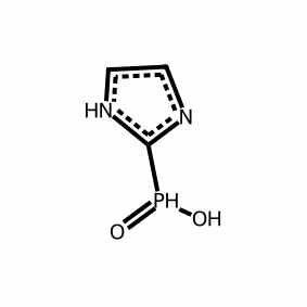 O=[PH](O)c1ncc[nH]1